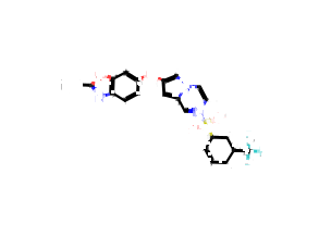 Cc1nc2ccc(Oc3cc4c[n+](S(=O)(=O)C5C=CCC(C(F)(F)F)C5)ccn4c3)cc2o1